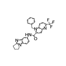 O=C(Nc1ccc2c(c1)nc1n2CCC1)c1cc2nc(C(F)(F)F)ccc2n1Cc1ccccc1